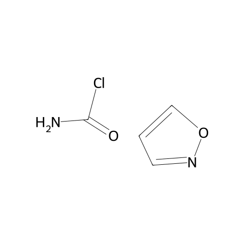 NC(=O)Cl.c1cnoc1